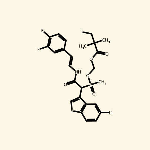 CC(C)(CI)C(=O)OCOP(C)(=O)C(C(=O)N/C=C/c1ccc(F)c(F)c1)c1csc2ccc(Cl)cc12